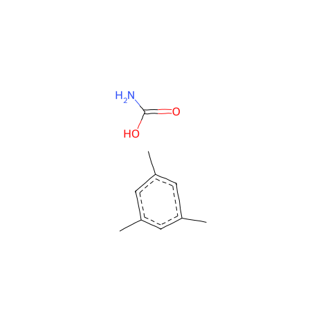 Cc1cc(C)cc(C)c1.NC(=O)O